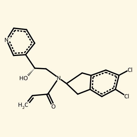 C=CC(=O)N(C[C@H](O)c1cccnc1)C1Cc2cc(Cl)c(Cl)cc2C1